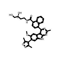 COc1cc2c(cc1-c1c(C)noc1C)[nH]c1nc(C)nc(-c3ccc(C(=O)NCC[C@H](O)CO)c4ccccc34)c12